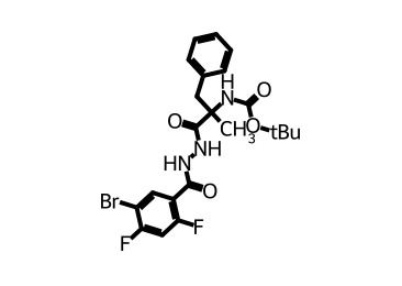 CC(C)(C)OC(=O)NC(C)(Cc1ccccc1)C(=O)NNC(=O)c1cc(Br)c(F)cc1F